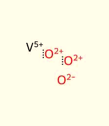 [O+2].[O+2].[O-2].[V+5]